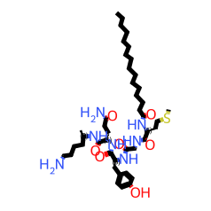 CCCCCCCCCCCCCCCC(=O)N[C@@H](CCSC)C(=O)NCC(=O)N[C@@H](Cc1ccc(O)cc1)C(=O)N[C@@H](CCC(N)=O)C(=O)N[C@H](C)CCCCN